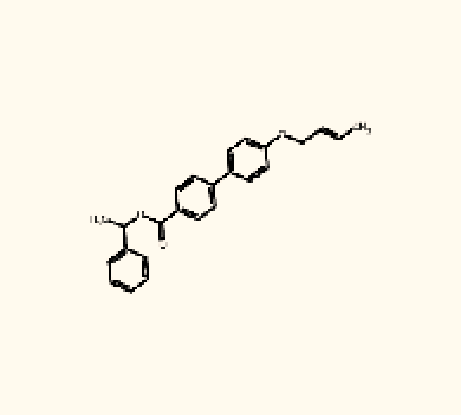 C/C=C/COc1ccc(-c2ccc(C(=O)OC(C)c3ccccc3)cc2)cc1